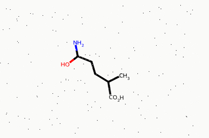 CC(CCC(N)O)C(=O)O